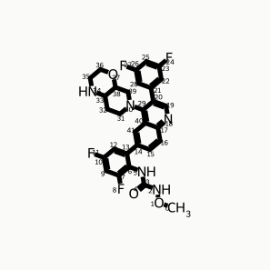 CONC(=O)Nc1c(F)cc(F)cc1-c1ccc2ncc(-c3cc(F)cc(F)c3)c(N3CCC4NCCOC4C3)c2c1